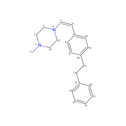 CN1CCN(/C=C\c2ccc(CCc3ccccc3)cc2)CC1